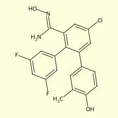 Cc1cc(-c2cc(Cl)cc(/C(N)=N/O)c2-c2cc(F)cc(F)c2)ccc1O